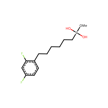 CO[Si](O)(O)CCCCCCc1ccc(F)cc1F